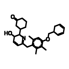 Cc1cc(OCC2C=CC=CC2)c(C)c(C)c1CC1=NC(C2CCCC(=O)C2)C(O)C=C1